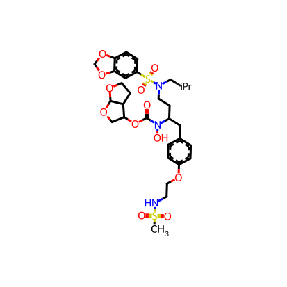 CC(C)CN(CCC(Cc1ccc(OCCNS(C)(=O)=O)cc1)N(O)C(=O)OC1COC2OCCC12)S(=O)(=O)c1ccc2c(c1)OCO2